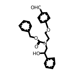 O=Cc1ccc(OCCN(CC(O)c2ccccc2)C(=O)OCc2ccccc2)cc1